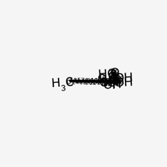 CCCCCCCCCCCCCCCCCC(=O)OCC(O)CO[C@H]1OC(CS(=O)(=O)O)[C@@H](O)[C@H](O)C1[18F]